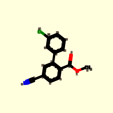 COC(=O)c1ccc(C#N)cc1-c1cccc(Cl)c1